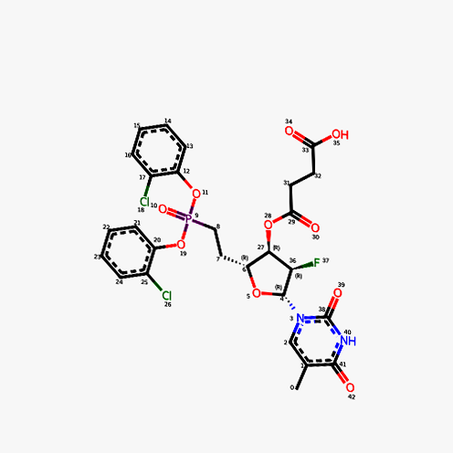 Cc1cn([C@@H]2O[C@H](CCP(=O)(Oc3ccccc3Cl)Oc3ccccc3Cl)[C@@H](OC(=O)CCC(=O)O)[C@H]2F)c(=O)[nH]c1=O